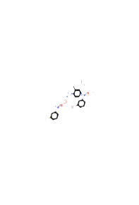 CCc1ccccc1N=C=O.O=C=Nc1cccc(Br)c1.O=C=Nc1cccc(F)c1